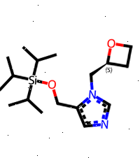 CC(C)[Si](OCc1cncn1C[C@@H]1CCO1)(C(C)C)C(C)C